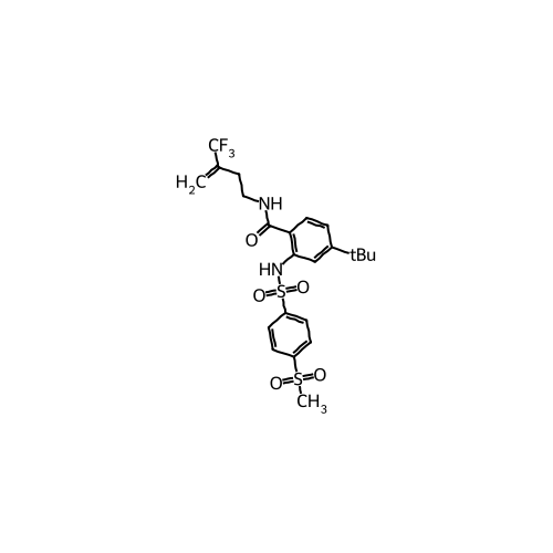 C=C(CCNC(=O)c1ccc(C(C)(C)C)cc1NS(=O)(=O)c1ccc(S(C)(=O)=O)cc1)C(F)(F)F